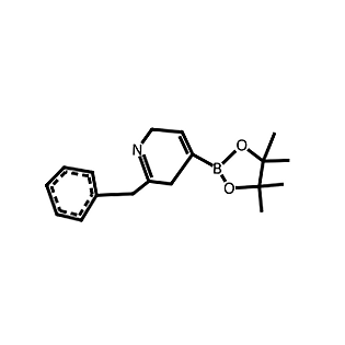 CC1(C)OB(C2=CCN=C(Cc3ccccc3)C2)OC1(C)C